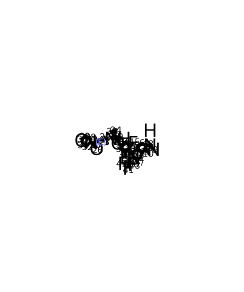 C[C@@H]1Cc2c(ccc3[nH]ncc23)[C@@H](c2c(F)cc(OCC3(NC/C=C/C(=O)N4CCOCC4)CC3)cc2F)N1CC(F)(F)F